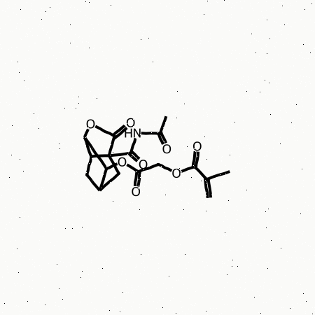 C=C(C)C(=O)OCC(=O)OC1C2CC3C1OC(=O)C3(C(=O)NC(C)=O)C2